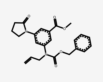 C=CCN(C(=O)OCc1ccccc1)c1cc(C(=O)OC)cc(N2CCCC2=O)c1